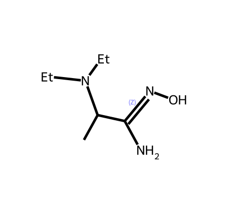 CCN(CC)C(C)/C(N)=N/O